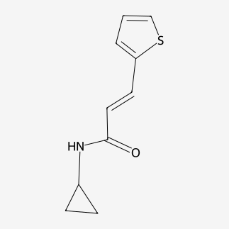 O=C(/C=C/c1cccs1)NC1CC1